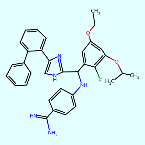 CCOc1cc(OC(C)C)c(F)c(C(Nc2ccc(C(=N)N)cc2)c2nc(-c3ccccc3-c3ccccc3)c[nH]2)c1